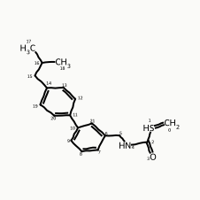 C=[SH]C(=O)NCc1cccc(-c2ccc(CC(C)C)cc2)c1